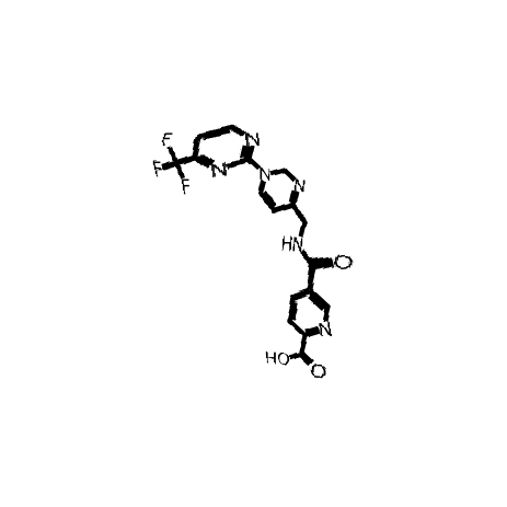 O=C(NCC1=NCN(c2nccc(C(F)(F)F)n2)C=C1)c1ccc(C(=O)O)nc1